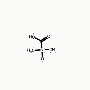 C[N+](C)([O-])C(=O)O